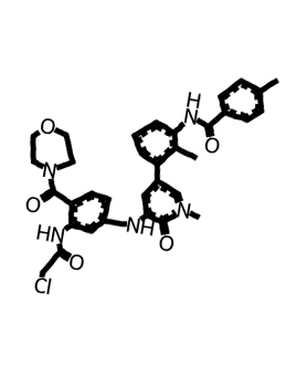 Cc1ccc(C(=O)Nc2cccc(-c3cc(Nc4ccc(C(=O)N5CCOCC5)c(NC(=O)CCl)c4)c(=O)n(C)c3)c2C)cc1